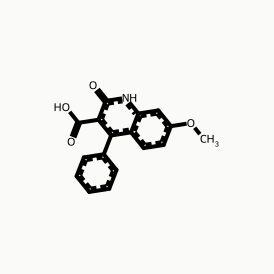 COc1ccc2c(-c3ccccc3)c(C(=O)O)c(=O)[nH]c2c1